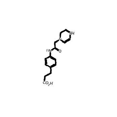 O=C(O)CCc1ccc(NC(=O)CN2C=CNCC2)cc1